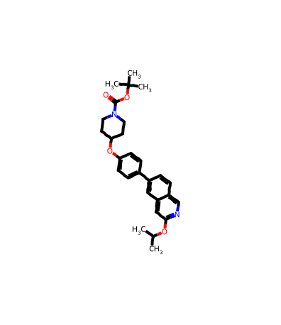 CC(C)Oc1cc2cc(-c3ccc(OC4CCN(C(=O)OC(C)(C)C)CC4)cc3)ccc2cn1